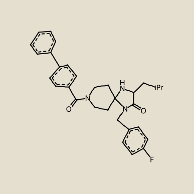 CC(C)CC1NC2(CCN(C(=O)c3ccc(-c4ccccc4)cc3)CC2)N(Cc2ccc(F)cc2)C1=O